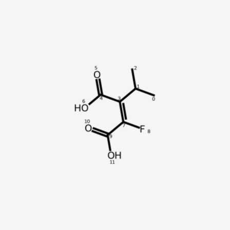 CC(C)C(C(=O)O)=C(F)C(=O)O